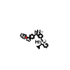 O=C(N[C@H](c1ccccn1)C1CC1)c1ccc2[nH]nc(-c3ccc(OC4CC5CCC(C4)N5C4COC4)cc3)c2c1